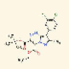 CCOC(=O)c1c(C(=O)OC(C)(C)C)nnc2c(-c3ccc(Cl)c(Cl)c3)c(C)nn12